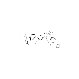 CCOc1ccn(-c2ccc(F)cc2)c(=O)c1C(=O)Nc1ccc(-c2ccc3c(N)n[nH]c3c2)c(F)c1